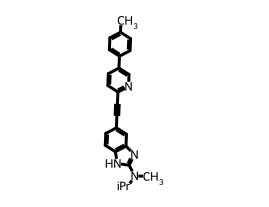 Cc1ccc(-c2ccc(C#Cc3ccc4[nH]c(N(C)C(C)C)nc4c3)nc2)cc1